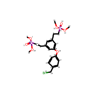 COP(=O)(CCc1cc(CCP(=O)(OC)OC)cc(Oc2ccc(CBr)cc2)c1)OC